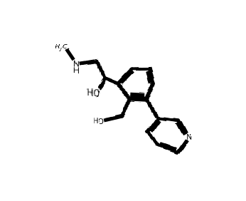 CNCC(O)c1cccc(-c2cccnc2)c1CO